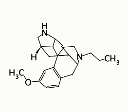 CCCN1CCC23c4cc(OC)ccc4CC1C21CCC2NC[C@@H](C1)C23